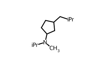 CC(C)CC1CCC(N(C)C(C)C)C1